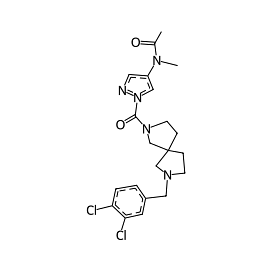 CC(=O)N(C)c1cnn(C(=O)N2CCC3(CCN(Cc4ccc(Cl)c(Cl)c4)C3)C2)c1